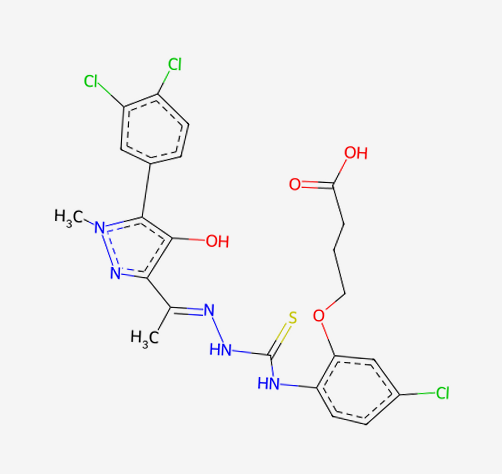 C/C(=N\NC(=S)Nc1ccc(Cl)cc1OCCCC(=O)O)c1nn(C)c(-c2ccc(Cl)c(Cl)c2)c1O